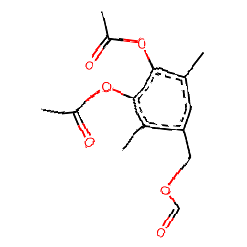 CC(=O)Oc1c(C)cc(COC=O)c(C)c1OC(C)=O